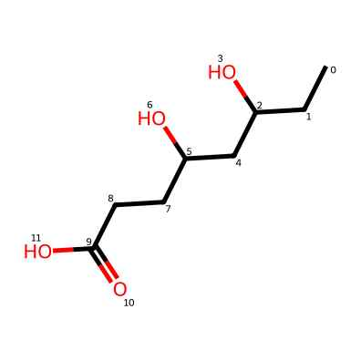 CCC(O)CC(O)CCC(=O)O